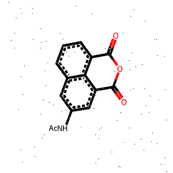 CC(=O)Nc1cc2c3c(cccc3c1)C(=O)OC2=O